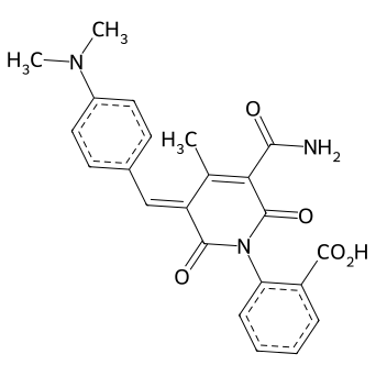 CC1=C(C(N)=O)C(=O)N(c2ccccc2C(=O)O)C(=O)C1=Cc1ccc(N(C)C)cc1